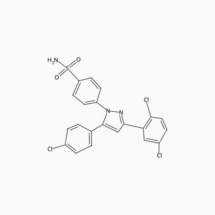 NS(=O)(=O)c1ccc(-n2nc(-c3cc(Cl)ccc3Cl)cc2-c2ccc(Cl)cc2)cc1